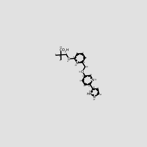 CC(C)(COc1cccc(COc2ccc(-c3ccn[nH]3)nc2)n1)C(=O)O